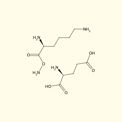 NCCCC[C@H](N)C(=O)ON.N[C@@H](CCC(=O)O)C(=O)O